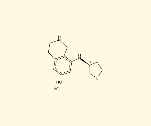 Cl.Cl.c1cc2c(c(N[C@H]3CCOC3)c1)CNCC2